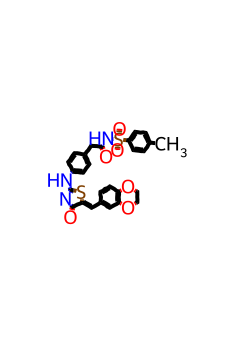 Cc1ccc(S(=O)(=O)NC(=O)Cc2ccc(NC3=NC(=O)/C(=C/c4ccc5c(c4)OCCO5)S3)cc2)cc1